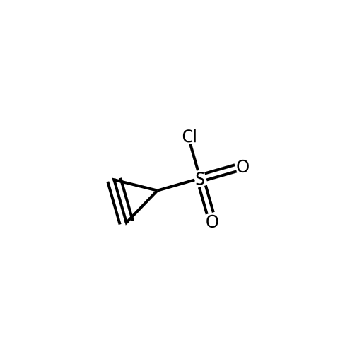 O=S(=O)(Cl)C1C#C1